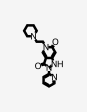 O=c1cc2[nH]n(-c3ccccn3)c(=O)c2cn1CCN1CCCCC1